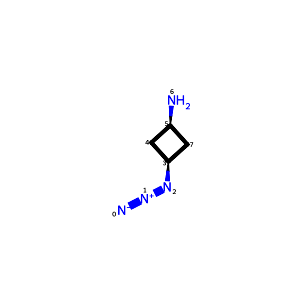 [N-]=[N+]=N[C@H]1C[C@@H](N)C1